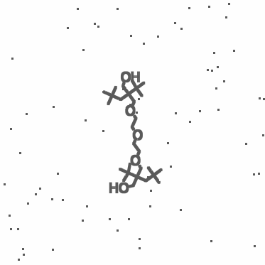 CC(C)(C)CC(CO)(COCCOCCOCC(CO)(CC(C)(C)C)C(C)(C)C)C(C)(C)C